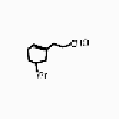 CC(C)C1CCC=C(CCC=O)C1